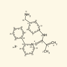 C=C(C)C(=O)Nc1ccc(CN)cc1.[Ir].c1ccc(-c2ccccn2)cc1